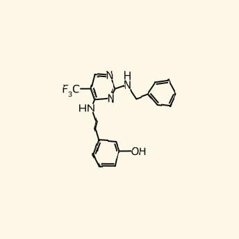 Oc1cccc(CCNc2nc(NCc3ccccc3)ncc2C(F)(F)F)c1